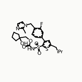 Cc1nccn1Cc1ccc(-c2cc(CC(C)C)sc2S(=O)(=O)NC(=O)OCC2(O)CCCC2)cc1F